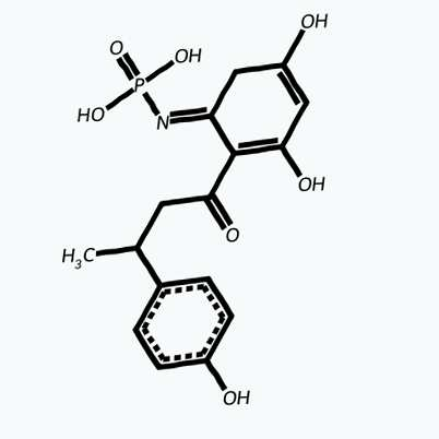 CC(CC(=O)C1=C(O)C=C(O)CC1=NP(=O)(O)O)c1ccc(O)cc1